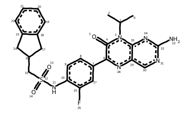 CC(C)n1c(=O)c(-c2ccc(NS(=O)(=O)CC3Cc4ccccc4C3)c(F)c2)nc2cnc(N)nc21